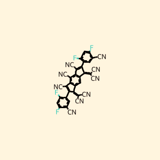 N#CC(C#N)=C1C(c2cc(C#N)c(F)cc2F)=C(C#N)c2c1cc1c(c2C#N)C(C#N)=C(c2cc(C#N)c(F)cc2F)C1=C(C#N)C#N